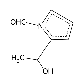 CC(O)c1cccn1C=O